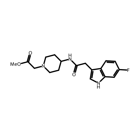 COC(=O)CN1CCC(NC(=O)Cc2c[nH]c3cc(F)ccc23)CC1